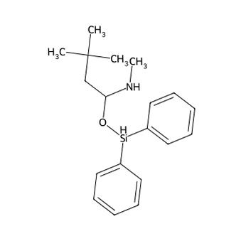 CNC(CC(C)(C)C)O[SiH](c1ccccc1)c1ccccc1